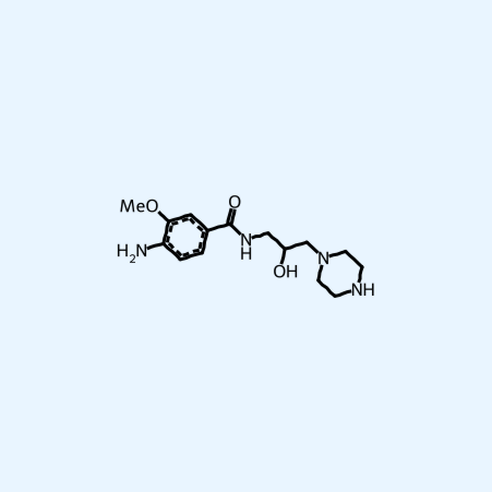 COc1cc(C(=O)NCC(O)CN2CCNCC2)ccc1N